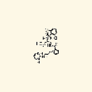 O=C(NCC(NS(=O)(=O)c1c(Cl)cccc1Cl)C(=O)O)c1cccn1CCCNC1NC=CCN1